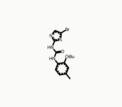 Cc1ccc(NC(=O)Nc2ncc(Br)s2)c(OCC(C)C)c1